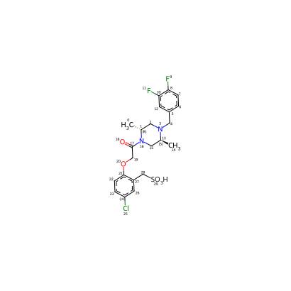 C[C@@H]1CN(Cc2ccc(F)c(F)c2)[C@@H](C)CN1C(=O)COc1ccc(Cl)cc1CS(=O)(=O)O